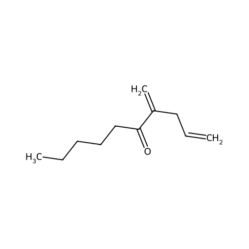 C=CCC(=C)C(=O)CCCCC